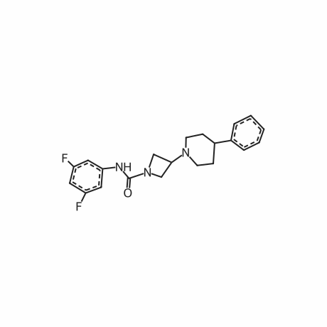 O=C(Nc1cc(F)cc(F)c1)N1CC(N2CCC(c3ccccc3)CC2)C1